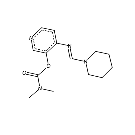 CN(C)C(=O)Oc1cnccc1/N=C/N1CCCCC1